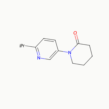 CC(C)c1ccc(N2CCCCC2=O)cn1